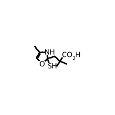 CC1=COC(S)(CC(C)(C)C(=O)O)N1